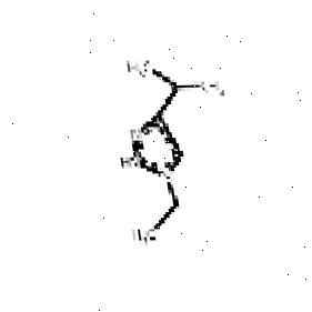 CC[n+]1cc(C(C)C)n[nH]1